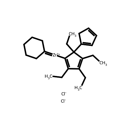 CCC1=C(CC)C(CC)(C2=CC=CC2)[C]([Zr+2]=[C]2CCCCC2)=C1CC.[Cl-].[Cl-]